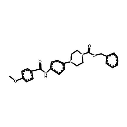 COc1ccc(C(=O)Nc2ccc(N3CCN(C(=O)OCc4ccccc4)CC3)cc2)cc1